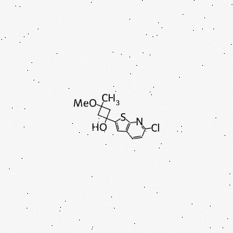 COC1(C)CC(O)(c2cc3ccc(Cl)nc3s2)C1